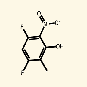 Cc1c(F)cc(F)c([N+](=O)[O-])c1O